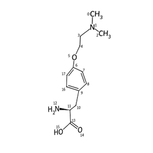 CN(C)CCOc1ccc(C[C@H](N)C(=O)O)cc1